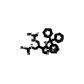 Cn1ncc(C(CNC(=O)O)CNC(=O)O)c1NC(c1ccccc1)(c1ccccc1)c1ccccc1